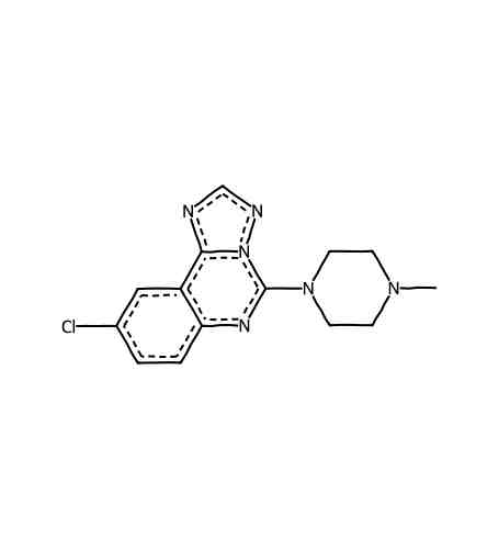 CN1CCN(c2nc3ccc(Cl)cc3c3ncnn23)CC1